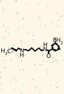 Bc1cccc(C(=O)NCCCCCCNC/C=C/C)c1